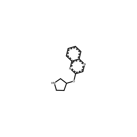 [CH]1CC(Oc2cnc3ccccc3n2)CN1